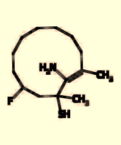 C/C1=C(/N)C(C)(S)CC(F)CCCCCCC1